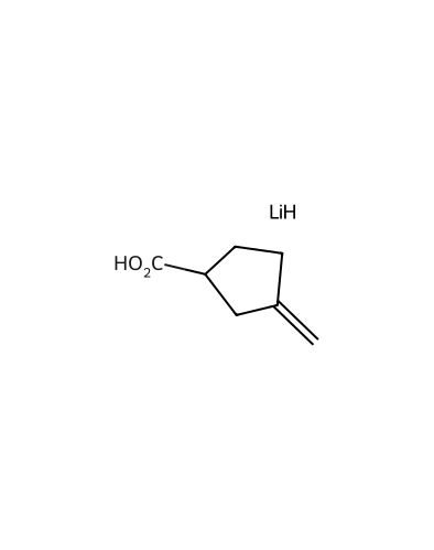 C=C1CCC(C(=O)O)C1.[LiH]